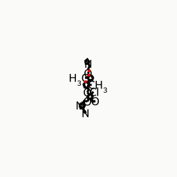 Cc1c(COc2cc(OCc3cncc(C#N)c3)c(C=O)cc2Cl)cccc1-c1cccc(OCCCN2CCCC2)c1C